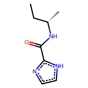 CC[C@H](C)NC(=O)c1ncc[nH]1